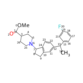 COC(=O)C1CCN(C2CCc3cc(C(C)c4cccc(F)c4)ccc32)CC1